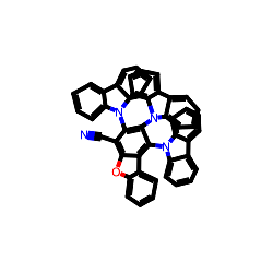 N#Cc1c(-n2c3ccccc3c3ccccc32)c(-n2c3ccccc3c3ccccc32)c(-n2c3ccccc3c3ccccc32)c2c1oc1ccccc12